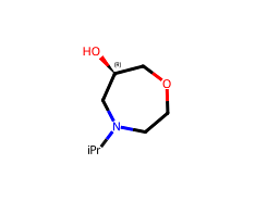 CC(C)N1CCOC[C@H](O)C1